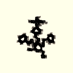 O=S(=O)(O)C(F)(F)F.OC[C@H]1O[C@@H](O)[C@H](OCc2ccccc2)[C@@H](OCc2ccccc2)[C@@H]1OCc1ccccc1